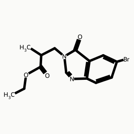 CCOC(=O)C(C)Cn1cnc2ccc(Br)cc2c1=O